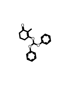 CC1=C(OC(Oc2ccccc2)Oc2ccccc2)CCCC1=O